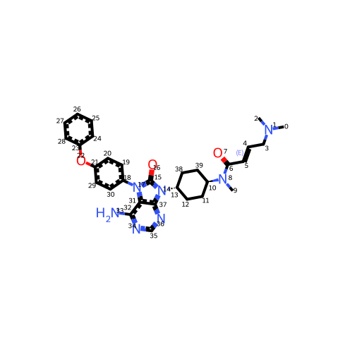 CN(C)C/C=C/C(=O)N(C)[C@H]1CC[C@H](n2c(=O)n(-c3ccc(Oc4ccccc4)cc3)c3c(N)ncnc32)CC1